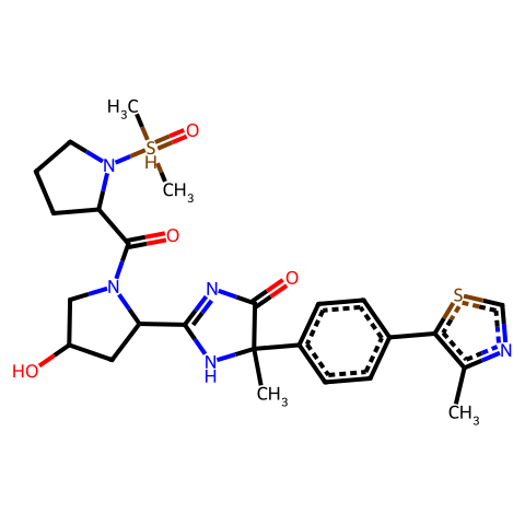 Cc1ncsc1-c1ccc(C2(C)NC(C3CC(O)CN3C(=O)C3CCCN3[SH](C)(C)=O)=NC2=O)cc1